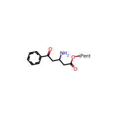 CCCC(C)OC(=O)CC(N)CC(=O)c1ccccc1